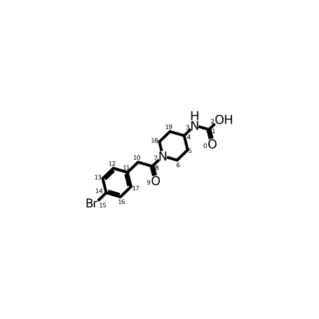 O=C(O)NC1CCN(C(=O)Cc2ccc(Br)cc2)CC1